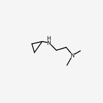 CN(C)CCNC1CC1